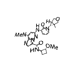 CNc1cc(Nc2cccn([C@H]3[C@@H]4COCC34C)c2=O)nn2c(C(=O)N[C@@H]3CC[C@H]3OC)cnc12